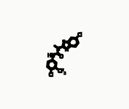 CN(C(=O)Nc1ccc(Cl)c(C(F)(F)F)c1)c1nc2ccc(Cl)cc2s1